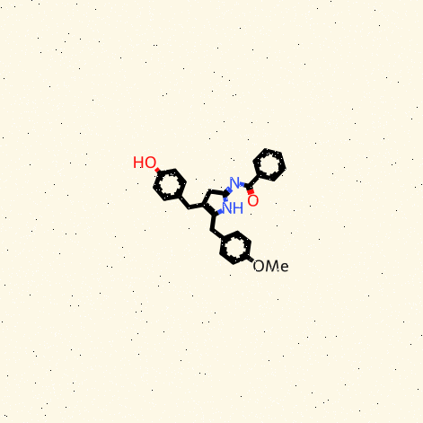 COc1ccc(CC2=C(Cc3ccc(O)cc3)C/C(=N/C(=O)c3ccccc3)N2)cc1